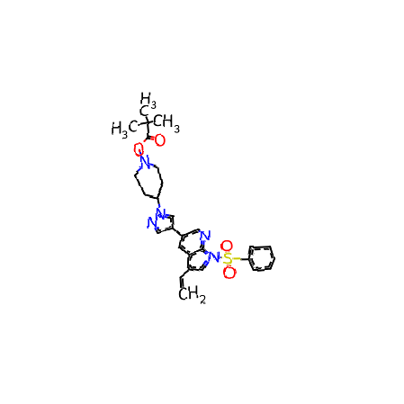 C=Cc1cn(S(=O)(=O)c2ccccc2)c2ncc(-c3cnn(C4CCN(OC(=O)C(C)(C)C)CC4)c3)cc12